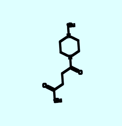 CC(C)(C)C(=O)CCC(=O)N1CCN(C(C)(C)C)CC1